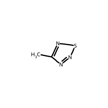 Cc1nnsn1